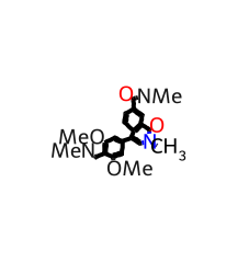 CNCc1c(OC)cc(-c2cn(C)c(=O)c3cc(C(=O)NC)ccc23)cc1OC